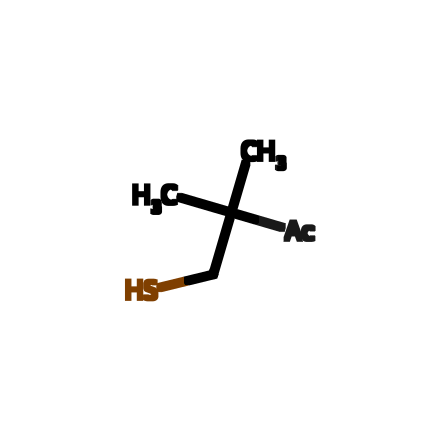 CC(=O)C(C)(C)CS